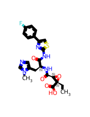 CC[C@]1(C(=O)O)O[C@@H]1C(=O)N[C@@H](Cc1cncn1C)C(=O)Nc1nc(-c2ccc(F)cc2)cs1